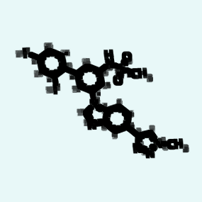 Cn1cc(-c2ccc3c(c2)ncn3-c2cc(NS(C)(=O)=O)cc(-c3ccc(F)cc3F)c2)nn1